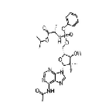 CC(=O)Nc1ncnc2c1ncn2[C@@H]1O[C@H](COP(=O)(N[C@@H](C)C(=O)OC(C)C)Oc2ccccc2)[C@@H](O)[C@@]1(C)F